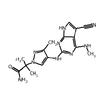 CNc1nc(Nc2cn(C(C)(C)C(N)=O)nc2C)nc2[nH]cc(C#N)c12